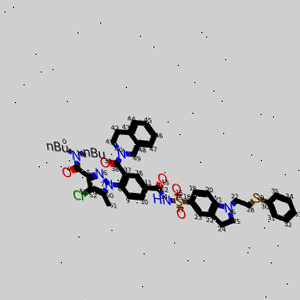 CCCCN(CCCC)C(=O)c1nn(-c2ccc(C(=O)NS(=O)(=O)c3ccc4c(c3)CCN4CCSc3ccccc3)cc2C(=O)N2CCc3ccccc3C2)c(C)c1Cl